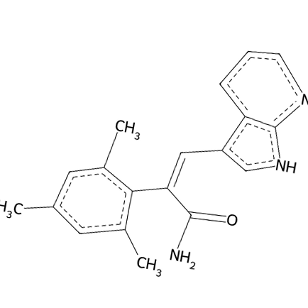 Cc1cc(C)c(C(=Cc2c[nH]c3ncccc23)C(N)=O)c(C)c1